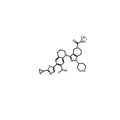 CNC(=O)N1CCc2c(c(N3CCCc4cc(-c5cnc(C6CC6)s5)c(C(F)F)cc43)nn2C2CCOCC2)C1